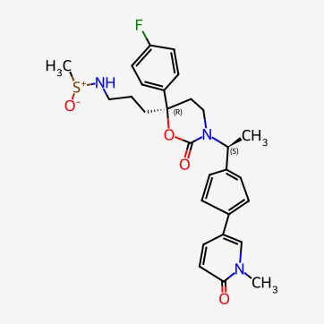 C[C@@H](c1ccc(-c2ccc(=O)n(C)c2)cc1)N1CC[C@](CCCN[S+](C)[O-])(c2ccc(F)cc2)OC1=O